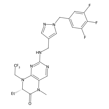 CC[C@H]1C(=O)N(C)c2cnc(NCc3cnn(Cc4cc(F)c(F)c(F)c4)c3)nc2N1CC(F)(F)F